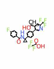 C[C@@H](O)c1cc(C(F)(F)F)ncc1-c1ccc(C2(NC(=O)c3ccc(F)cc3)CC2)cc1.O=C(O)C(F)(F)F